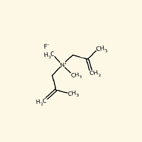 C=C(C)C[N+](C)(C)CC(=C)C.[F-]